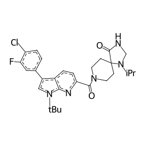 CC(C)N1CNC(=O)C12CCN(C(=O)c1ccc3c(-c4ccc(Cl)c(F)c4)cn(C(C)(C)C)c3n1)CC2